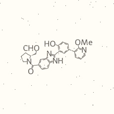 COc1ncccc1-c1ccc(O)c(-c2nc3cc(C(=O)N4CCC[C@H]4CC=O)ccc3[nH]2)c1